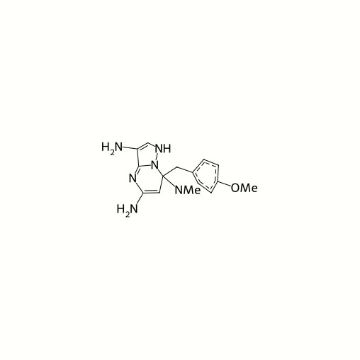 CNC1(Cc2ccc(OC)cc2)C=C(N)N=C2C(N)=CNN21